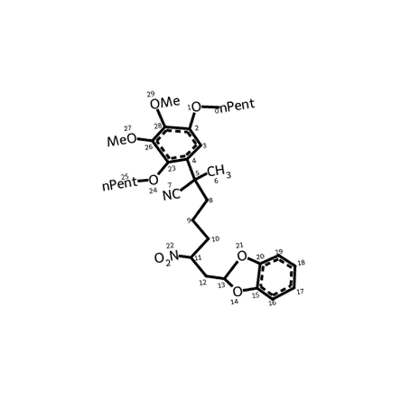 CCCCCOc1cc(C(C)(C#N)CCCC(CC2Oc3ccccc3O2)[N+](=O)[O-])c(OCCCCC)c(OC)c1OC